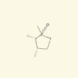 C[C@H]1CCP(C)(=O)[C@H]1C